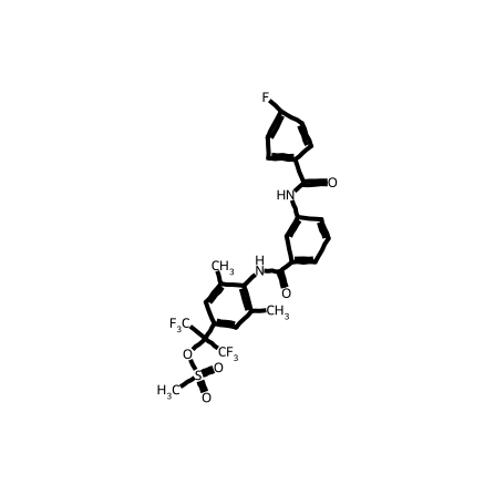 Cc1cc(C(OS(C)(=O)=O)(C(F)(F)F)C(F)(F)F)cc(C)c1NC(=O)c1cccc(NC(=O)c2ccc(F)cc2)c1